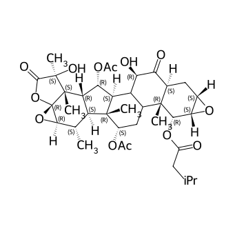 CC(=O)O[C@H]1[C@@H]2[C@H]([C@H](C)[C@H]3O[C@]34OC(=O)[C@@](C)(O)[C@]24C)[C@@]2(C)[C@@H](OC(C)=O)CC3C([C@H]12)[C@@H](O)C(=O)[C@H]1C[C@@H]2O[C@@H]2[C@H](OC(=O)CC(C)C)[C@]31C